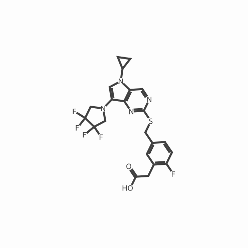 O=C(O)Cc1cc(CSc2ncc3c(n2)c(N2CC(F)(F)C(F)(F)C2)cn3C2CC2)ccc1F